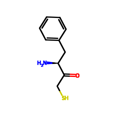 N[C@@H](Cc1ccccc1)C(=O)CS